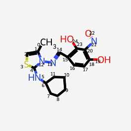 CC1=CSC(NC2CCCCC2)N1/N=C/c1ccc(O)c(N=O)c1O